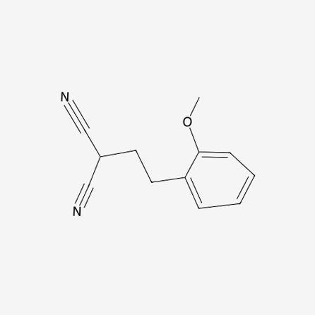 COc1ccccc1CCC(C#N)C#N